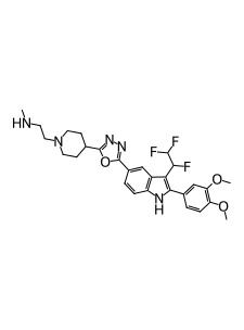 CNCCN1CCC(c2nnc(-c3ccc4[nH]c(-c5ccc(OC)c(OC)c5)c(C(F)C(F)F)c4c3)o2)CC1